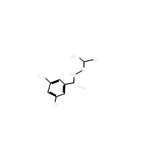 Cc1cc([C@@H](C)NSC(C)C(C)C)cc(C(F)(F)F)c1